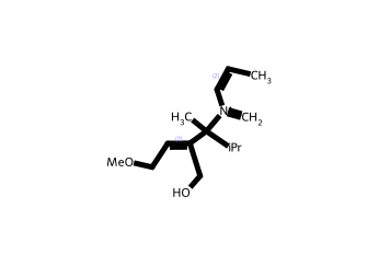 C=[N+](/C=C\C)C(C)(/C(=C/COC)CO)C(C)C